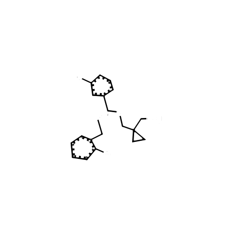 CC(=O)c1ccccc1CC[C@@H](SCC1(CC(=O)O)CC1)c1cccc(C)c1